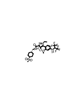 CCn1nc(C(=O)NC[C@H]2CC[C@H](S(C)(=O)=O)CC2)c(Cl)c1-c1ccc(NC(C(F)(F)F)C(F)(F)F)cc1OC